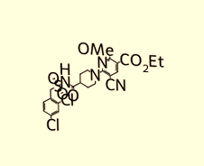 CCOC(=O)c1cc(C#N)c(N2CCC(C(=O)NS(=O)(=O)Cc3ccc(Cl)cc3Cl)CC2)nc1OC